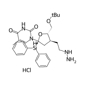 Cc1cn([C@@]2([SiH](c3ccccc3)c3ccccc3)C[C@H](CCNN)[C@@H](COC(C)(C)C)O2)c(=O)[nH]c1=O.Cl